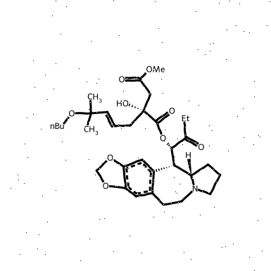 CCCCOC(C)(C)/C=C/C[C@@](O)(CC(=O)OC)C(=O)O[C@H](C(=O)CC)[C@H]1c2cc3c(cc2CCN2CCC[C@@H]12)OCO3